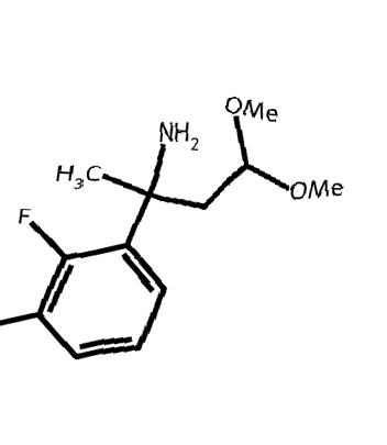 COC(CC(C)(N)c1cccc(F)c1F)OC